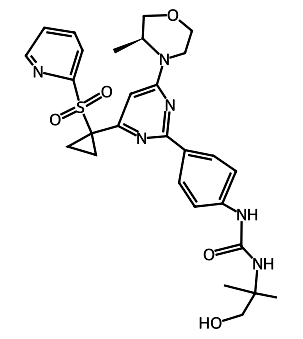 C[C@H]1COCCN1c1cc(C2(S(=O)(=O)c3ccccn3)CC2)nc(-c2ccc(NC(=O)NC(C)(C)CO)cc2)n1